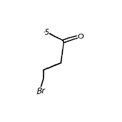 O=C([S])CCBr